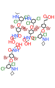 CC(C)Nc1cc(Cl)cc(COc2c(Br)cc(C(=O)NCC(=O)O)cc2Br)c1Cl.CCNc1cc(Cl)cc(COc2c(Br)cc(C(=O)NCC(=O)O)cc2Br)c1Cl.O=C(O)C=Cc1cc(Br)c(OCc2cc(Cl)cc(NC3CCC3)c2Cl)c(Br)c1.O=C(O)CNC(=O)c1cc(Br)c(OCc2cc(Cl)cc(NC3CCC3)c2Cl)c(Br)c1